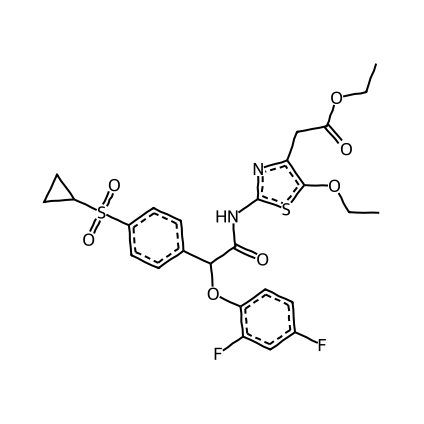 CCOC(=O)Cc1nc(NC(=O)C(Oc2ccc(F)cc2F)c2ccc(S(=O)(=O)C3CC3)cc2)sc1OCC